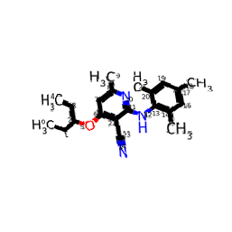 CCC(CC)Oc1cc(C)nc(Nc2c(C)cc(C)cc2C)c1C#N